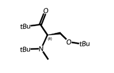 CN([C@H](COC(C)(C)C)C(=O)C(C)(C)C)C(C)(C)C